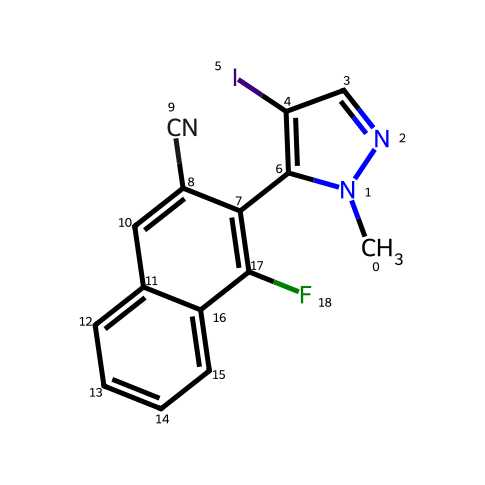 Cn1ncc(I)c1-c1c(C#N)cc2ccccc2c1F